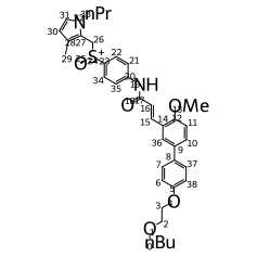 CCCCOCCOc1ccc(-c2ccc(OC)c(/C=C/C(=O)Nc3ccc([S@@+]([O-])Cc4c(C)ccn4CCC)cc3)c2)cc1